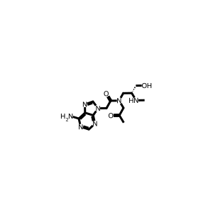 CN[C@@H](CO)CN(CC(C)=O)C(=O)Cn1cnc2c(N)ncnc21